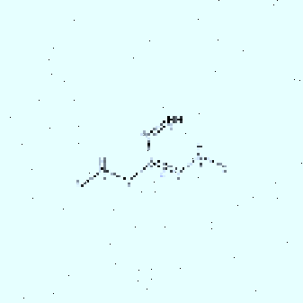 CN/C=C(\C=N)CNC